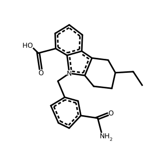 CCC1CCc2c(c3cccc(C(=O)O)c3n2Cc2cccc(C(N)=O)c2)C1